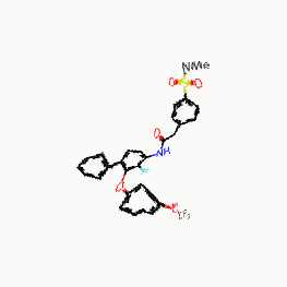 CNS(=O)(=O)c1ccc(CC(=O)Nc2ccc(-c3ccccc3)c(Oc3cccc(OC(F)(F)F)c3)c2F)cc1